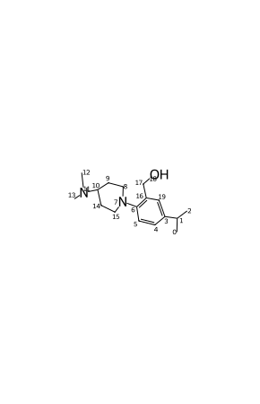 CC(C)c1ccc(N2CCC(N(C)C)CC2)c(CO)c1